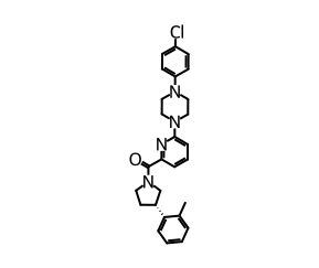 Cc1ccccc1[C@@H]1CCN(C(=O)c2cccc(N3CCN(c4ccc(Cl)cc4)CC3)n2)C1